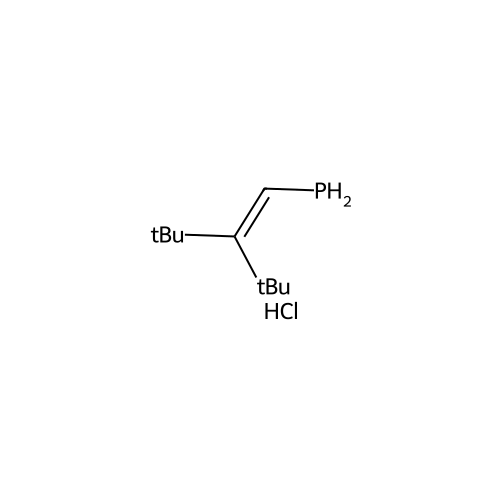 CC(C)(C)C(=CP)C(C)(C)C.Cl